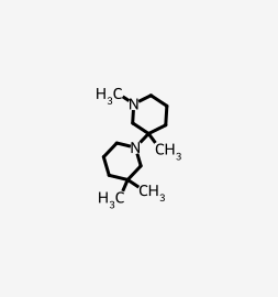 CN1CCCC(C)(N2CCCC(C)(C)C2)C1